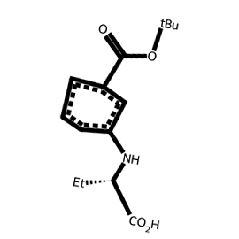 CC[C@H](Nc1cccc(C(=O)OC(C)(C)C)c1)C(=O)O